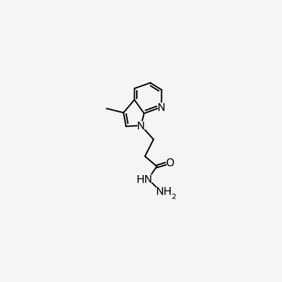 Cc1cn(CCC(=O)NN)c2ncccc12